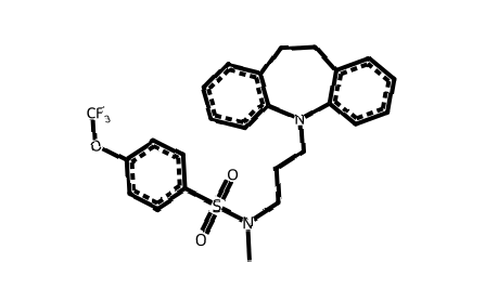 CN(CCCN1c2ccccc2CCc2ccccc21)S(=O)(=O)c1ccc(OC(F)(F)F)cc1